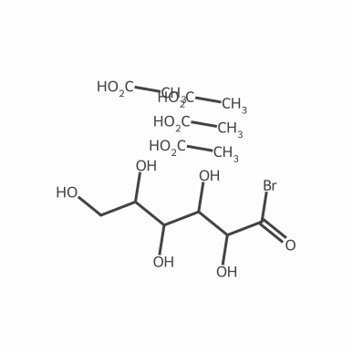 CC(=O)O.CC(=O)O.CC(=O)O.CC(=O)O.O=C(Br)C(O)C(O)C(O)C(O)CO